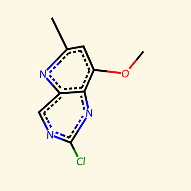 COc1cc(C)nc2cnc(Cl)nc12